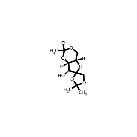 CC1(C)OC[C@@H]2OC3(COC(C)(C)O3)[C@@H](O)[C@@H]2O1